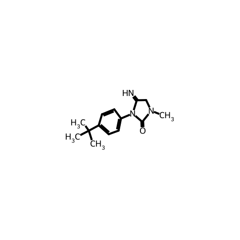 CN1CC(=N)N(c2ccc(C(C)(C)C)cc2)C1=O